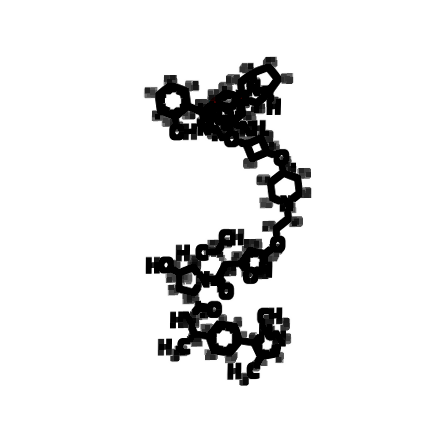 Cc1cnn(C)c1-c1ccc([C@H](C)NC(=O)[C@@H]2C[C@@H](O)CN2C(=O)[C@@H](c2cc(OCCN3CCC(OC4CC(Oc5cc(N6C7CC[C@@H]6CN(c6cc(-c8ccccc8O)nnc6N)C7)ccn5)C4)CC3)no2)C(C)C)cc1